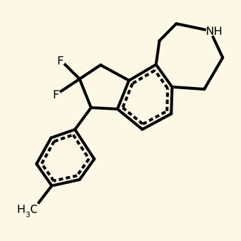 Cc1ccc(C2c3ccc4c(c3CC2(F)F)CCNCC4)cc1